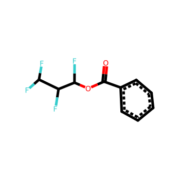 O=C(OC(F)C(F)C(F)F)c1ccccc1